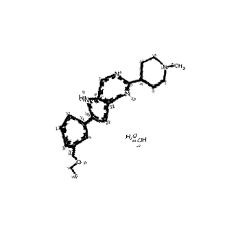 CN1CCC(c2ncc3[nH]c(-c4cccc(OCF)c4)cc3n2)CC1.Cl.O